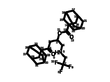 O=C(CC(CNCC(F)(F)F)OC(=O)C12CC3CC(CC(C3)C1)C2)C12CC3CC(CC(C3)C1)C2